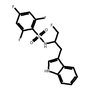 O=S(=O)(NC(CF)Cc1c[nH]c2ccccc12)c1c(F)cc(F)cc1F